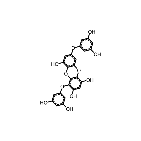 Oc1cc(O)cc(Oc2cc(O)c3c(c2)Oc2c(O)cc(O)c(Oc4cc(O)cc(O)c4)c2O3)c1